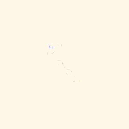 Cc1nnn(C[C@H](O)COc2ccc(C(C)(C)c3ccc(OC[C@H](O)CCl)cc3)cc2)c1CO